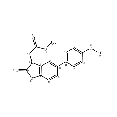 CC(C)(C)OC(=O)Cn1c(=O)oc2ccc(-c3ccc(OC(F)(F)F)cc3)cc21